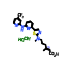 C/C(=C\C(=O)O)CCCN(C)c1ncc(-c2cccc(Nc3cc(C(F)(F)F)ccn3)n2)s1.Cl.Cl